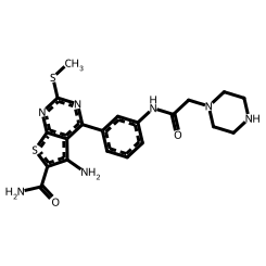 CSc1nc(-c2cccc(NC(=O)CN3CCNCC3)c2)c2c(N)c(C(N)=O)sc2n1